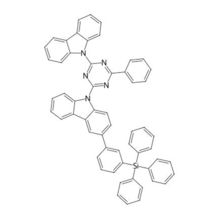 c1ccc(-c2nc(-n3c4ccccc4c4ccccc43)nc(-n3c4ccccc4c4cc(-c5cccc([Si](c6ccccc6)(c6ccccc6)c6ccccc6)c5)ccc43)n2)cc1